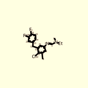 CCN(C)C=Nc1cc(C)c(Cl)c(Cc2ccc(F)c(F)c2)c1